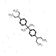 CCN(CC)c1ccc(C(C)(C)c2ccc(N(CC)CC)cc2)cc1